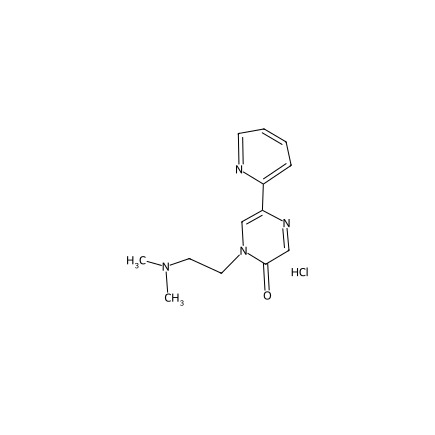 CN(C)CCn1cc(-c2ccccn2)ncc1=O.Cl